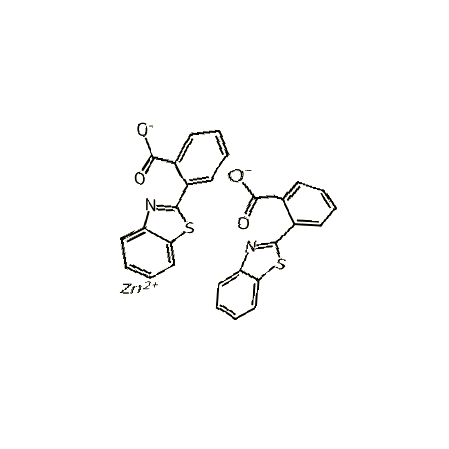 O=C([O-])c1ccccc1-c1nc2ccccc2s1.O=C([O-])c1ccccc1-c1nc2ccccc2s1.[Zn+2]